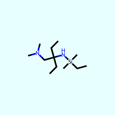 CCC(CC)(CN(C)C)N[Si](C)(C)CC